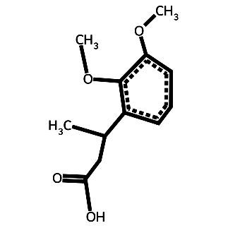 COc1cccc(C(C)CC(=O)O)c1OC